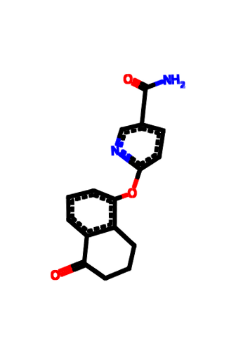 NC(=O)c1ccc(Oc2cccc3c2CCCC3=O)nc1